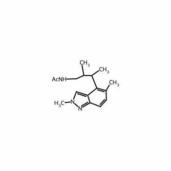 CC(=O)NCC(C)C(C)c1c(C)ccc2nn(C)cc12